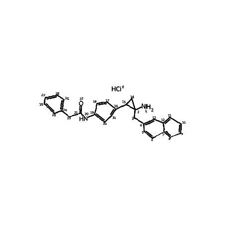 Cl.NC1(Cc2ccc3ccccc3c2)CC1c1ccc(NC(=O)Cc2ccccc2)cc1